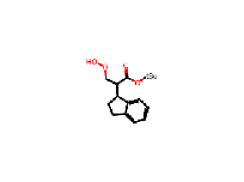 CC(C)(C)OC(=O)C(COO)C1CCc2ccccc21